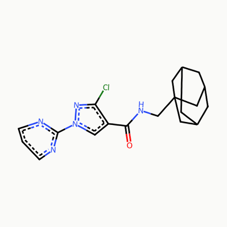 O=C(NCC12CC3CC(CC(C3)C1)C2)c1cn(-c2ncccn2)nc1Cl